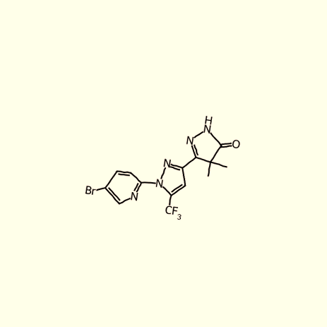 CC1(C)C(=O)NN=C1c1cc(C(F)(F)F)n(-c2ccc(Br)cn2)n1